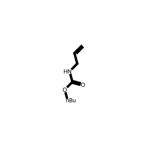 C=CCNC(=O)OCCCC